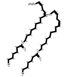 CCCCC/C=C\C/C=C\CCCCCCCCOC(=O)CCCCCBr.CCCCC/C=C\C/C=C\CCCCCCCCOC(=O)CCCCCBr